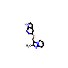 Cc1nc2ccccn2c1COc1cnc2[nH]ccc2c1